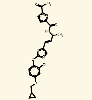 CC(=O)c1ccc(C(=O)N[C@@H](C)/C=C/c2cnc(Oc3ccc(OCC4CC4)cc3Cl)s2)s1